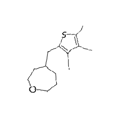 Cc1sc(CC2CCCOCC2)c(C)c1C